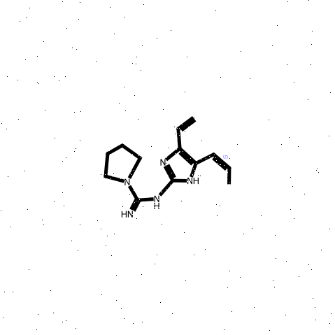 C=Cc1nc(NC(=N)N2CCCC2)[nH]c1/C=C\C